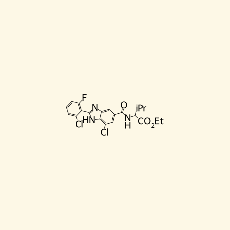 CCOC(=O)C(NC(=O)c1cc(Cl)c2[nH]c(-c3c(F)cccc3Cl)nc2c1)C(C)C